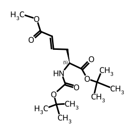 COC(=O)C=CC[C@H](NC(=O)OC(C)(C)C)C(=O)OC(C)(C)C